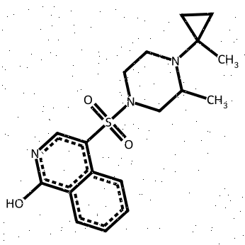 CC1CN(S(=O)(=O)c2cnc(O)c3ccccc23)CCN1C1(C)CC1